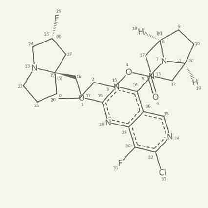 CCCCOC(=O)N1[C@@H]2CC[C@H]1CN(c1nc(OC[C@@]34CCCN3C[C@H](F)C4)nc3c(F)c(Cl)ncc13)C2